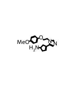 COc1ccc(OCCn2cncc2C2=CCC(N)C2)cc1